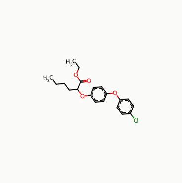 CCCCC(Oc1ccc(Oc2ccc(Cl)cc2)cc1)C(=O)OCC